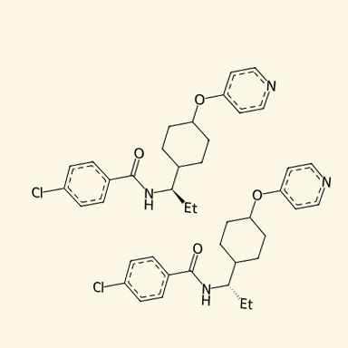 CC[C@@H](NC(=O)c1ccc(Cl)cc1)C1CCC(Oc2ccncc2)CC1.CC[C@H](NC(=O)c1ccc(Cl)cc1)C1CCC(Oc2ccncc2)CC1